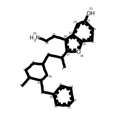 CC(CC1CCC(C)C(Cc2ccccc2)C1)c1oc2ccc(O)cc2c1CCN